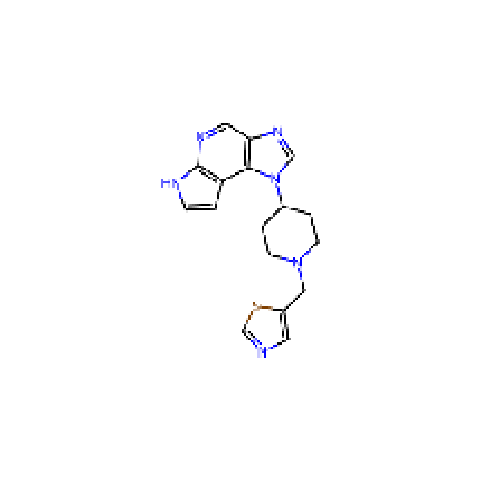 c1cc2c(ncc3ncn(C4CCN(Cc5cncs5)CC4)c32)[nH]1